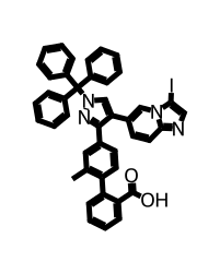 Cc1cc(-c2nn(C(c3ccccc3)(c3ccccc3)c3ccccc3)cc2-c2ccc3ncc(I)n3c2)ccc1-c1ccccc1C(=O)O